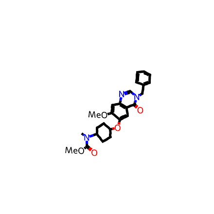 COC(=O)N(C)C1CCC(Oc2cc3c(=O)n(Cc4ccccc4)cnc3cc2OC)CC1